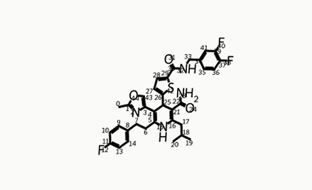 Cc1nc(C2=C(CCc3ccc(F)cc3)NC(CC(C)C)=C(C(N)=O)C2c2ccc(C(=O)NCc3ccc(F)c(F)c3)s2)co1